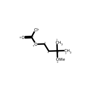 COC(C)(C)CCOC(=O)Cl